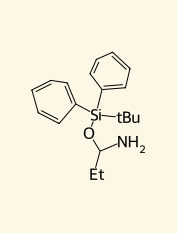 CCC(N)O[Si](c1ccccc1)(c1ccccc1)C(C)(C)C